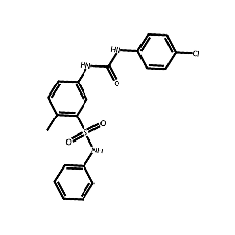 Cc1ccc(NC(=O)Nc2ccc(Cl)cc2)cc1S(=O)(=O)Nc1ccccc1